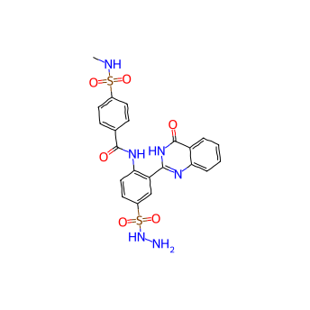 CNS(=O)(=O)c1ccc(C(=O)Nc2ccc(S(=O)(=O)NN)cc2-c2nc3ccccc3c(=O)[nH]2)cc1